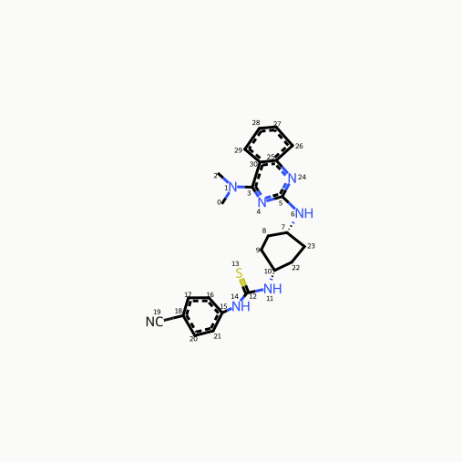 CN(C)c1nc(N[C@H]2CC[C@@H](NC(=S)Nc3ccc(C#N)cc3)CC2)nc2ccccc12